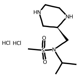 CC(C)N(C[C@H]1CNCCN1)S(C)(=O)=O.Cl.Cl